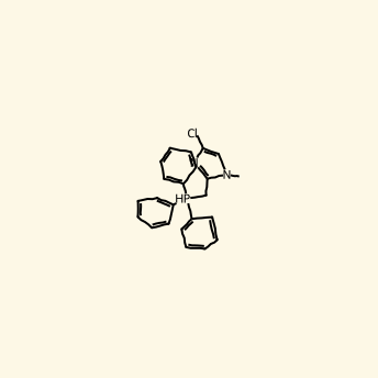 Cn1cc(Cl)nc1C[PH](c1ccccc1)(c1ccccc1)c1ccccc1